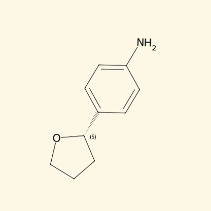 Nc1ccc([C@@H]2CCCO2)cc1